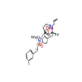 C=CCN1CC[C@]23CC(N(C)C(=O)/C=C/c4cccc(C)c4)CC[C@@]2(O)[C@H]1Cc1ccc(O)c(OC)c13